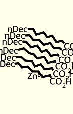 CCCCCCCCCCCCCCCCCC(=O)O.CCCCCCCCCCCCCCCCCC(=O)O.CCCCCCCCCCCCCCCCCC(=O)O.CCCCCCCCCCCCCCCCCC(=O)O.CCCCCCCCCCCCCCCCCC(=O)O.CCCCCCCCCCCCCCCCCC(=O)O.[Zn+6]